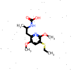 CCSc1cc(OC)c(CC(C)NC(=O)O)nc1OC